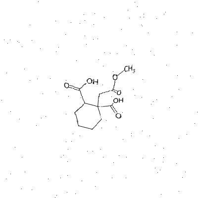 COC(=O)CC1(C(=O)O)CCCCC1C(=O)O